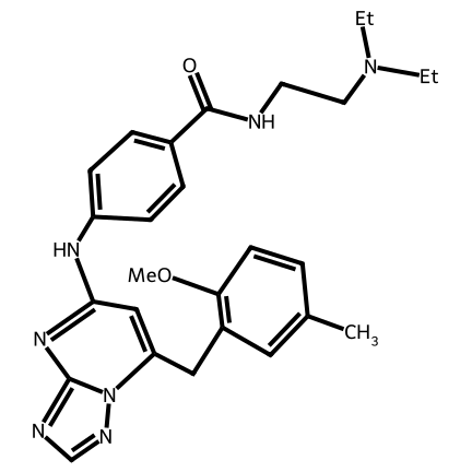 CCN(CC)CCNC(=O)c1ccc(Nc2cc(Cc3cc(C)ccc3OC)n3ncnc3n2)cc1